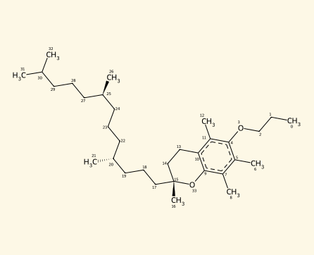 CCCOc1c(C)c(C)c2c(c1C)CC[C@@](C)(CCC[C@H](C)CCC[C@H](C)CCCC(C)C)O2